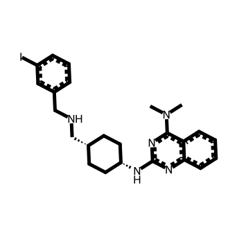 CN(C)c1nc(N[C@H]2CC[C@@H](CNCc3cccc(I)c3)CC2)nc2ccccc12